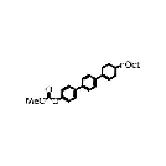 CCCCCCCCC1CC=C(c2ccc(-c3ccc(OC(=O)OC)cc3)cc2)CC1